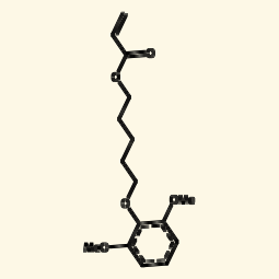 C=CC(=O)OCCCCCOc1c(OC)cccc1OC